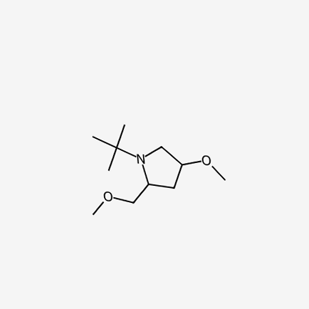 COCC1CC(OC)CN1C(C)(C)C